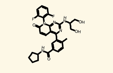 Cc1ccc(C(=O)NC2CCCC2)cc1-c1nc(NC(CO)CO)nc2c1ccc(=O)n2-c1c(F)cccc1F